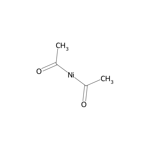 C[C](=O)[Ni][C](C)=O